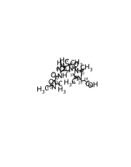 Cc1nc(C)c(C(=O)Nc2n[nH]c3c2CN(C(=O)N2C[C@@H](C)N(CCCO)C[C@@H]2C)C3(C)C)o1